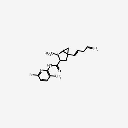 C=CC/C=C/C12CC(C(=O)Nc3nc(Br)ccc3C)N(C(=O)O)C1C2